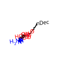 CCCCCCCCCCCCCCCCCOCCCOP(=O)(O)OC[C@H]1O[C@@](C)(c2ccc3c(N)ncnn23)[C@H](O)[C@@H]1O